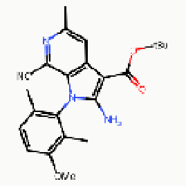 COc1ccc(C)c(-n2c(N)c(C(=O)OC(C)(C)C)c3cc(C)nc(C#N)c32)c1C